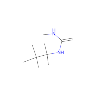 C=C(NC)NC(C)(C)C(C)(C)C